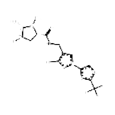 C[C@H]1[C@H](F)C[C@@H](C(=O)NCc2cn(-c3cnc(C(F)(F)F)s3)nc2Cl)N1C